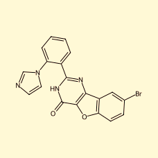 O=c1[nH]c(-c2ccccc2-n2ccnc2)nc2c1oc1ccc(Br)cc12